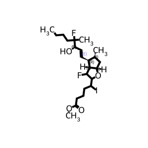 CCCCC(C)(F)[C@H](O)/C=C/[C@@H]1[C@H]2C(F)C(C(I)CCCC(=O)OC)O[C@H]2C[C@H]1C